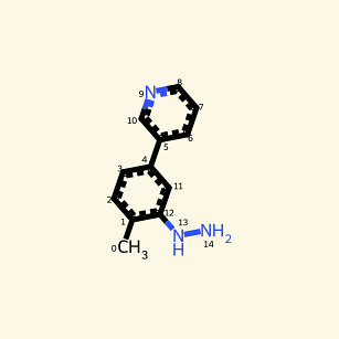 Cc1ccc(-c2cccnc2)cc1NN